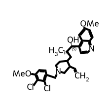 C=CC1CN(Cc2ccc(OC)c(Cl)c2Cl)CCC1C[C@H](C)[C@H](O)c1ccnc2ccc(OC)cc12